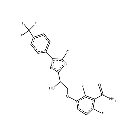 NC(=O)c1c(F)ccc(OCC(O)c2nc(-c3ccc(C(F)(F)F)cc3)c(Cl)o2)c1F